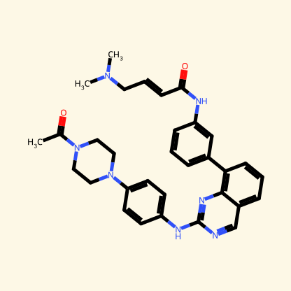 CC(=O)N1CCN(c2ccc(Nc3ncc4cccc(-c5cccc(NC(=O)/C=C/CN(C)C)c5)c4n3)cc2)CC1